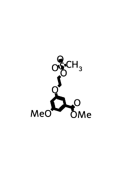 COC(=O)c1cc(OC)cc(OCCOS(C)(=O)=O)c1